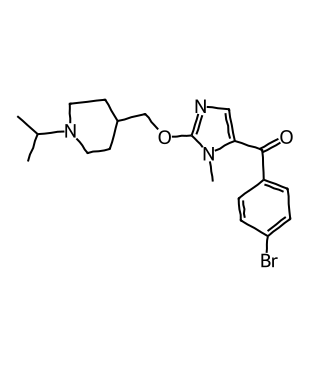 CC(C)N1CCC(COc2ncc(C(=O)c3ccc(Br)cc3)n2C)CC1